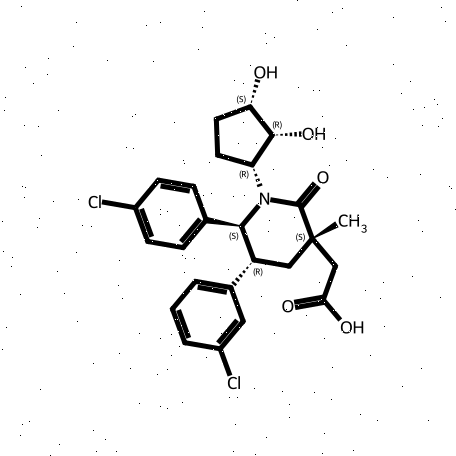 C[C@@]1(CC(=O)O)C[C@H](c2cccc(Cl)c2)[C@@H](c2ccc(Cl)cc2)N([C@@H]2CC[C@H](O)[C@@H]2O)C1=O